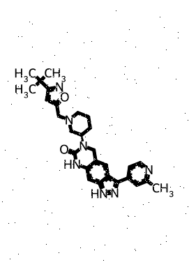 Cc1cc(-c2n[nH]c3cc4c(cc23)CN([C@@H]2CCCN(Cc3cc(C(C)(C)C)no3)C2)C(=O)N4)ccn1